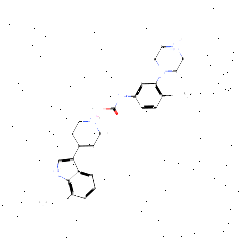 COc1ccc(NC(=O)ON2CCC(c3c[nH]c4c(OC)cccc34)CC2)cc1N1CCN(C)CC1